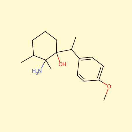 COc1ccc(C(C)C2(O)CCCC(C)C2(C)N)cc1